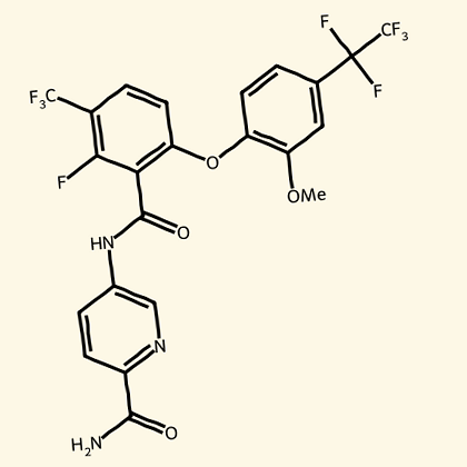 COc1cc(C(F)(F)C(F)(F)F)ccc1Oc1ccc(C(F)(F)F)c(F)c1C(=O)Nc1ccc(C(N)=O)nc1